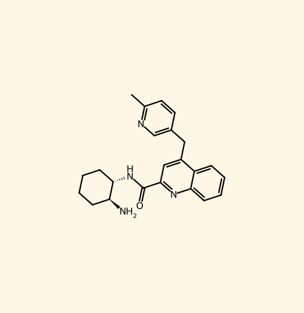 Cc1ccc(Cc2cc(C(=O)N[C@H]3CCCC[C@@H]3N)nc3ccccc23)cn1